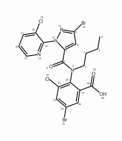 CCCCN(C(=O)c1cc(Br)nn1-c1ncccc1Cl)c1c(Cl)cc(Br)cc1C(=O)O